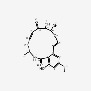 COc1cc(O)c2c(c1)/C=C/CC(O)C(O)C(=O)/C=C\CC(C)NC2=O